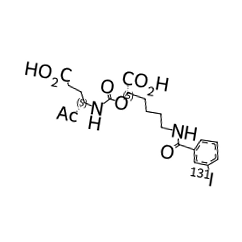 CC(=O)[C@H](CCC(=O)O)NC(=O)O[C@@H](CCCCNC(=O)c1cccc([131I])c1)C(=O)O